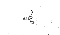 CCCCC(C)C(=O)CCCC=O